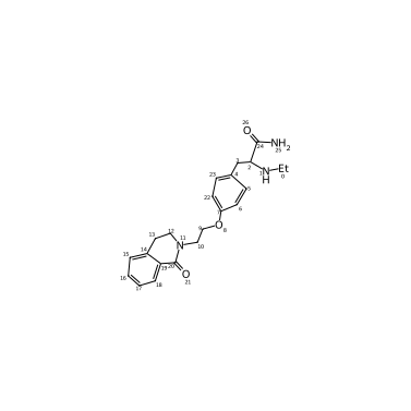 CCNC(Cc1ccc(OCCN2CCc3ccccc3C2=O)cc1)C(N)=O